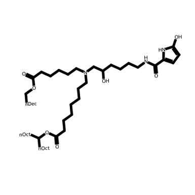 CCCCCCCCCCCOC(=O)CCCCCN(CCCCCCCC(=O)OC(CCCCCCCC)CCCCCCCC)CC(O)CCCCNC(=O)c1ccc(O)[nH]1